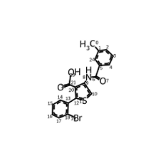 Cc1cccc(C(=O)Nc2csc(-c3ccccc3Br)c2C(=O)O)c1